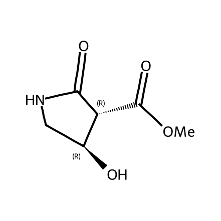 COC(=O)[C@H]1C(=O)NC[C@@H]1O